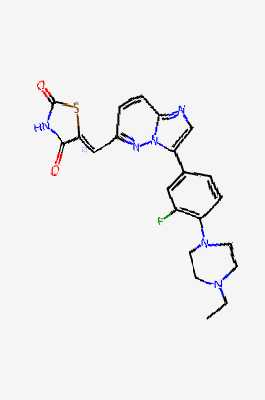 CCN1CCN(c2ccc(-c3cnc4ccc(/C=C5\SC(=O)NC5=O)nn34)cc2F)CC1